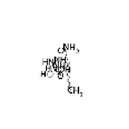 CCCCCCCCCCCCCC(N)=O.N=C(N)NN[C@@H](CO)C(=O)O